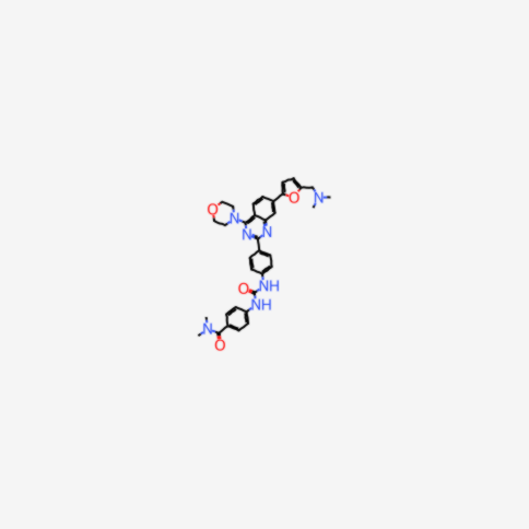 CN(C)Cc1ccc(-c2ccc3c(N4CCOCC4)nc(-c4ccc(NC(=O)Nc5ccc(C(=O)N(C)C)cc5)cc4)nc3c2)o1